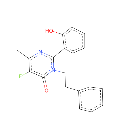 Cc1nc(-c2ccccc2O)n(CCc2ccccc2)c(=O)c1F